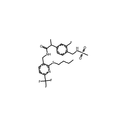 CCCCSc1nc(C(F)(F)F)ccc1CNC(=O)C(C)c1ccc(CNS(C)(=O)=O)c(F)c1